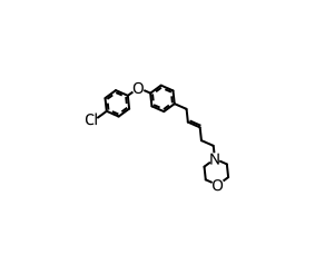 Clc1ccc(Oc2ccc(CC=CCCN3CCOCC3)cc2)cc1